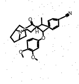 COc1ccc(OC(CCCN2C3CCC2CN(C(=O)NC(C)C)C3)c2ccc(C#N)cc2)cc1OC